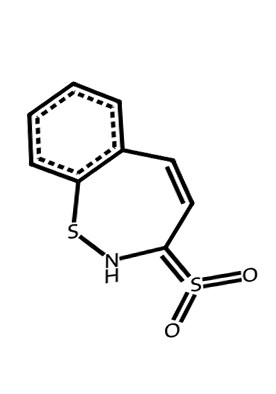 O=S(=O)=C1C=Cc2ccccc2SN1